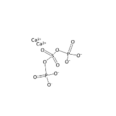 O=P([O-])([O-])OS(=O)(=O)OP(=O)([O-])[O-].[Ca+2].[Ca+2]